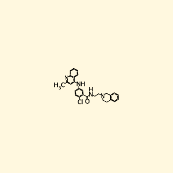 Cc1cc(Nc2ccc(Cl)c(C(=O)NCCN3CCc4ccccc4C3)c2)c2ccccc2n1